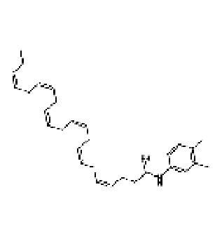 CC/C=C\C/C=C\C/C=C\C/C=C\C/C=C\C/C=C\CCC(=P)Nc1ccc(C)c(C)c1